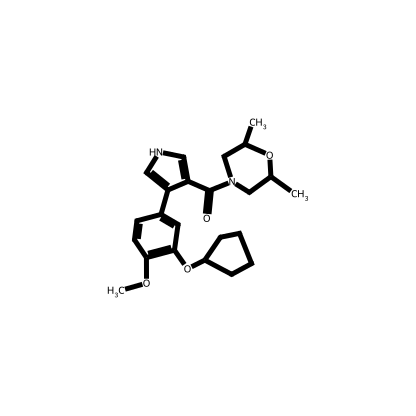 COc1ccc(-c2c[nH]cc2C(=O)N2CC(C)OC(C)C2)cc1OC1CCCC1